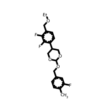 CCOCc1ccc(C2COC(OCc3ccc(C)c(F)c3)OC2)c(F)c1F